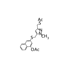 CC(=O)Oc1cc(SCc2cc(CSC(C)=O)nn2C)cc2ccccc12